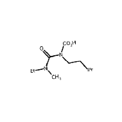 CCN(C)C(=O)N(CCC(C)C)C(=O)O